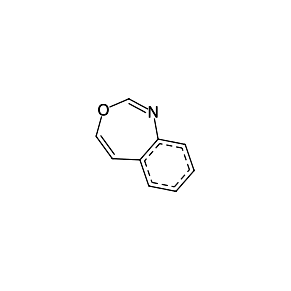 C1=Cc2ccccc2N=CO1